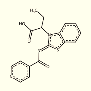 CCC(C(=O)O)n1c(=NC(=O)c2ccncc2)sc2ccccc21